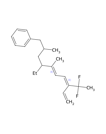 C=C/C(=C\C=C(/C)C(CC)CC(C)Cc1ccccc1)C(C)(F)F